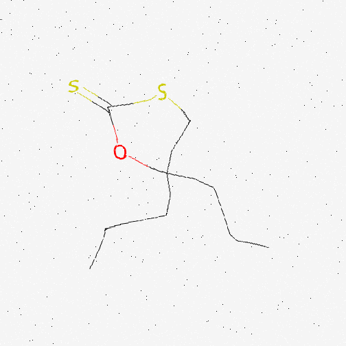 CCCC1(CCC)CSC(=S)O1